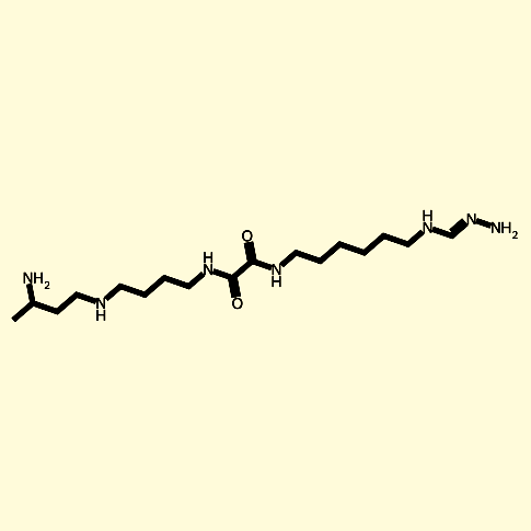 CC(N)CCNCCCCNC(=O)C(=O)NCCCCCCNC=NN